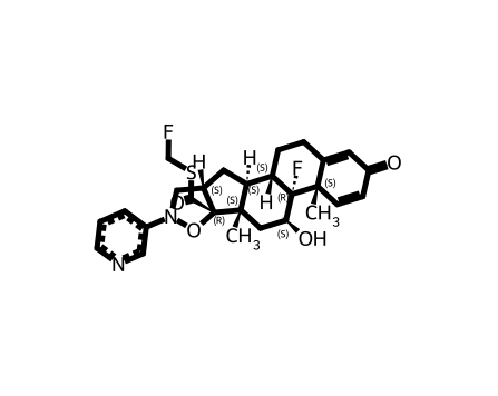 C[C@]12C=CC(=O)C=C1CC[C@H]1[C@@H]3C[C@H]4CN(c5cccnc5)O[C@@]4(C(=O)SCF)[C@@]3(C)C[C@H](O)[C@@]12F